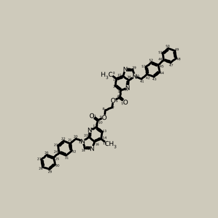 Cc1cc(C(=O)OCCOC(=O)c2cc(C)c3ncn(Cc4ccc(-c5ccccc5)cc4)c3n2)nc2c1ncn2Cc1ccc(-c2ccccc2)cc1